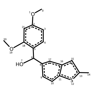 COc1ccc(C(O)c2ccc3sc(C)cc3c2)c(OC)c1